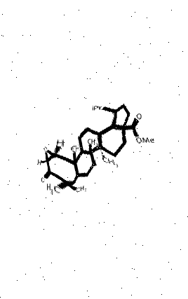 COC(=O)C12CCC(C(C)C)C1C1CCC3C4(C)C(CCC3(C)[C@]1(C)CC2)C(C)(C)C(=O)[C@@H]1O[C@@H]14